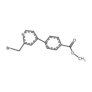 COC(=O)c1ccc(-c2ccnc(CBr)c2)cc1